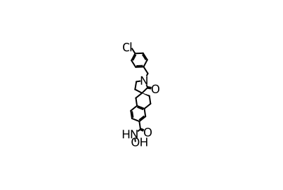 O=C(NO)c1ccc2c(c1)CC[C@]1(CCN(Cc3ccc(Cl)cc3)C1=O)C2